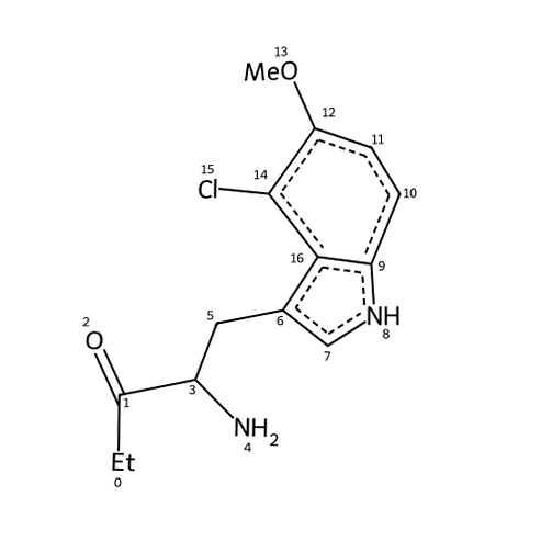 CCC(=O)C(N)Cc1c[nH]c2ccc(OC)c(Cl)c12